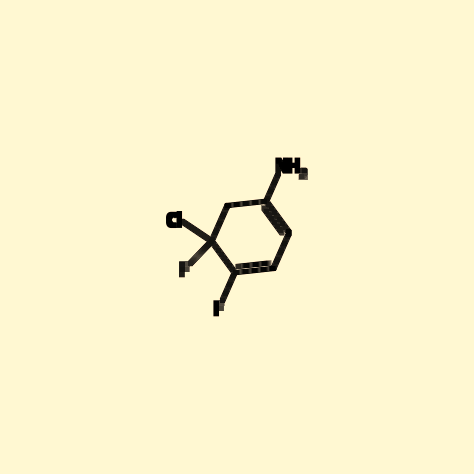 NC1=CC=C(F)C(F)(Cl)C1